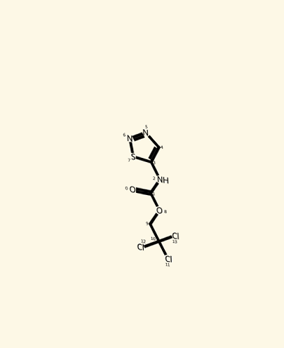 O=C(Nc1cnns1)OCC(Cl)(Cl)Cl